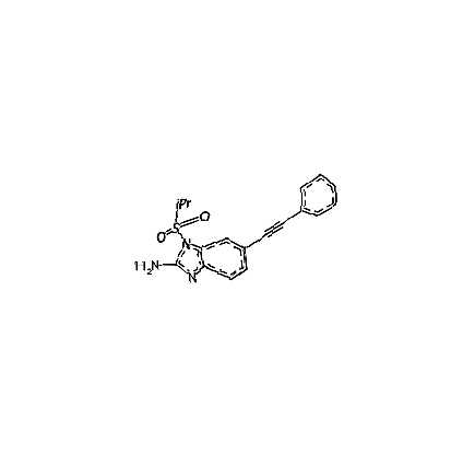 CC(C)S(=O)(=O)n1c(N)nc2ccc(C#Cc3ccccc3)cc21